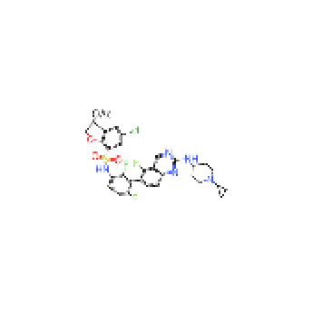 CC(=O)O[C@@H]1COc2c1cc(Cl)cc2S(=O)(=O)Nc1ccc(F)c(-c2ccc3nc(NC4CCN(C5CC5)CC4)ncc3c2F)c1F